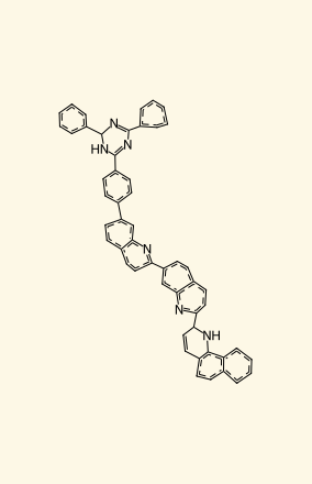 C1=CC(c2ccc3ccc(-c4ccc5ccc(-c6ccc(C7=NC(c8ccccc8)=NC(c8ccccc8)N7)cc6)cc5n4)cc3n2)Nc2c1ccc1ccccc21